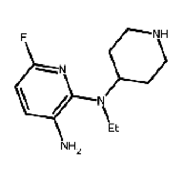 CCN(c1nc(F)ccc1N)C1CCNCC1